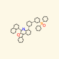 O=P(c1ccccc1)(c1ccccc1)c1cccc(-c2cccc(-c3cccc4c3nc(-c3cccc5ccccc35)c3oc5ccccc5c34)c2)c1